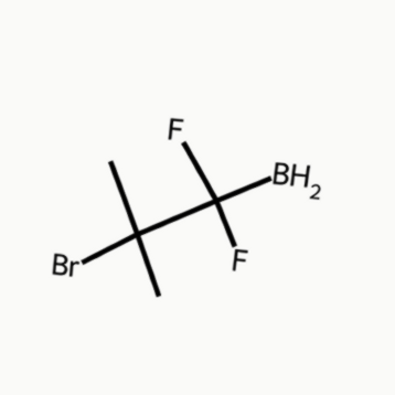 BC(F)(F)C(C)(C)Br